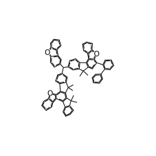 CC1(C)c2cc(C(c3ccc4c(c3)C(C)(C)c3c5c(c6c(oc7ccccc76)c3-4)-c3ccccc3C5(C)C)c3ccc4oc5ccccc5c4c3)ccc2-c2c1cc(-c1ccccc1-c1ccccc1)c1oc3ccccc3c21